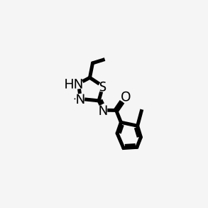 CCC1N[N]C(=NC(=O)c2ccccc2C)S1